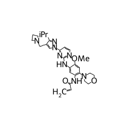 C=CC(=O)Nc1cc(Nc2nccc(-n3cc(CN4CCC4)c(C(C)C)n3)n2)c(OC)cc1N1CCOCC1